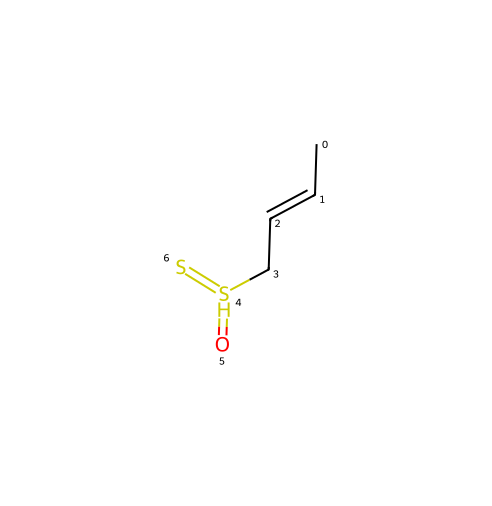 CC=CC[SH](=O)=S